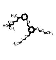 CCOCOCc1cc(COc2cccc(C(C)CCCC(C)(C)O)c2)cc(OCOCC)c1